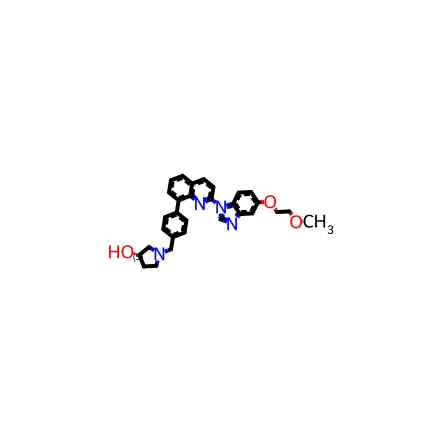 COCCOc1ccc2c(c1)ncn2-c1ccc2cccc(-c3ccc(CN4CC[C@H](O)C4)cc3)c2n1